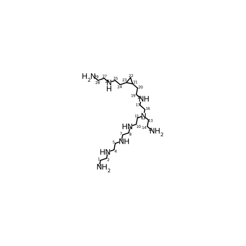 NCCNCCNCCNCCN(CCN)CCNCCC1CC1CCNCCN